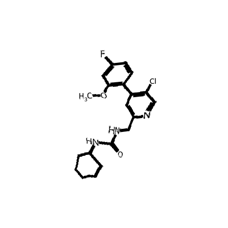 COc1cc(F)ccc1-c1cc(CNC(=O)NC2CCCCC2)ncc1Cl